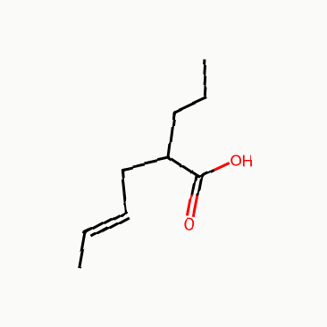 CC=CCC(CCC)C(=O)O